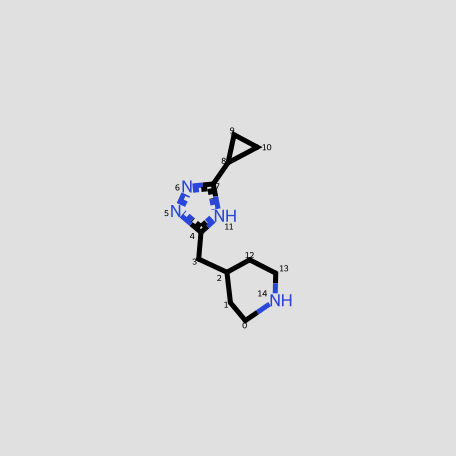 C1CC(Cc2nnc(C3CC3)[nH]2)CCN1